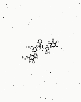 Cc1cn([C@H]2C[C@@H](O)[C@@H](COP(=O)(O[C@@H]3C[C@H](n4cnc5c(=O)[nH]c(N)nc54)O[C@@H]3CO)N3CCCC3)O2)c(=O)[nH]c1=O